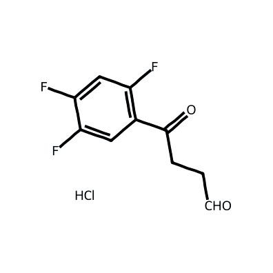 Cl.O=CCCC(=O)c1cc(F)c(F)cc1F